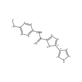 COc1ccc(NC(=O)c2ccc(-c3ccsc3)s2)cc1